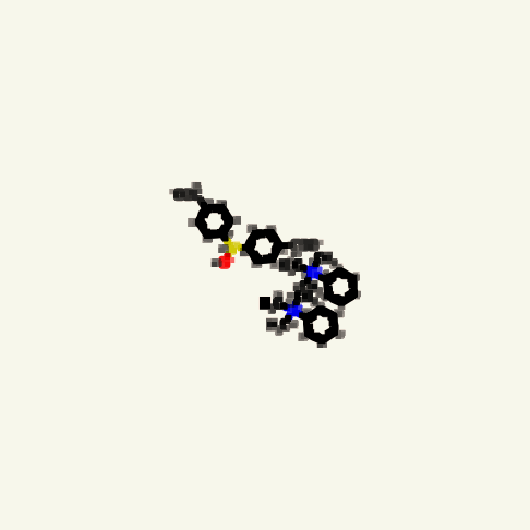 C[N+](C)(C)c1ccccc1.C[N+](C)(C)c1ccccc1.O=C([O-])c1ccc([S+]([O-])c2ccc(C(=O)[O-])cc2)cc1